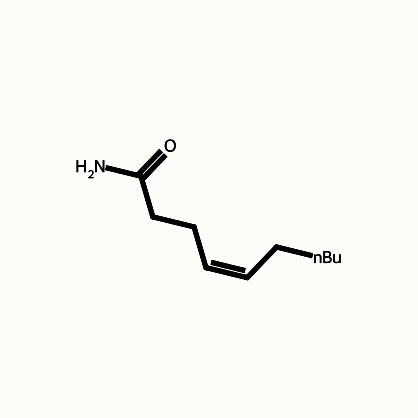 CCCCC/C=C\CCC(N)=O